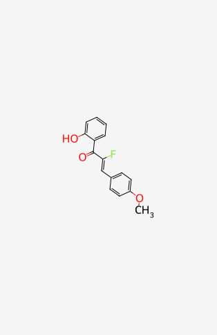 COc1ccc(C=C(F)C(=O)c2ccccc2O)cc1